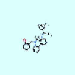 C=CC(=C\C)/C(C)=N/c1cccc(-c2ccccc2)c1C(=C)NCc1ccccc1O